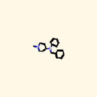 CN1CCC(N(Cc2ccccc2)c2ccccc2)CC1